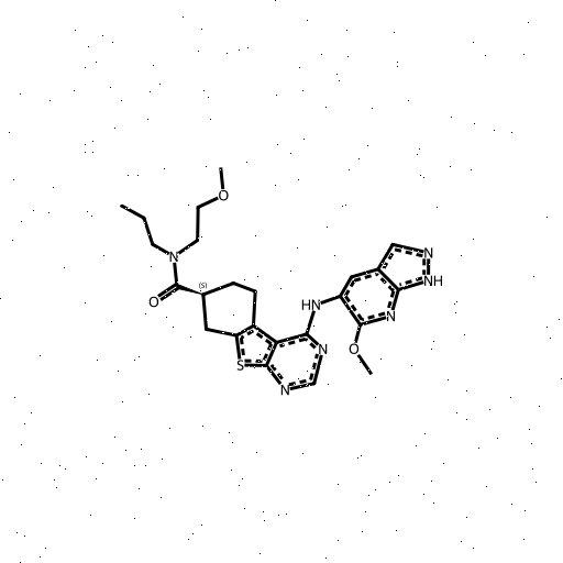 CCCN(CCOC)C(=O)[C@H]1CCc2c(sc3ncnc(Nc4cc5cn[nH]c5nc4OC)c23)C1